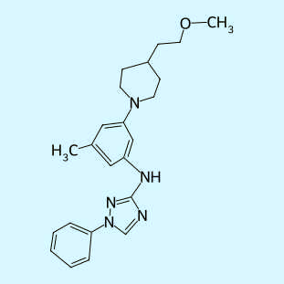 COCCC1CCN(c2cc(C)cc(Nc3ncn(-c4ccccc4)n3)c2)CC1